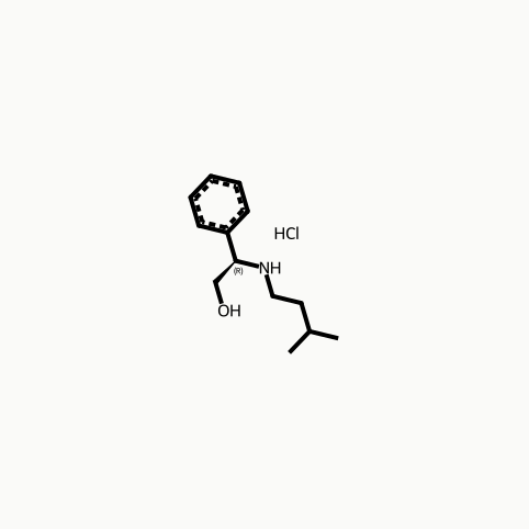 CC(C)CCN[C@@H](CO)c1ccccc1.Cl